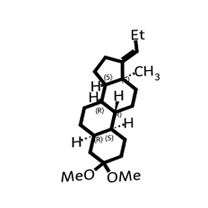 CCC=C1CC[C@H]2[C@@H]3CC[C@@H]4CC(OC)(OC)CC[C@@H]4[C@H]3CC[C@]12C